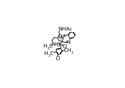 CC(=O)NCCC1CCN(C)C[C@H]1[C@@]1(S(=O)(=O)c2cc(C)c(Cl)cc2C)C=Nc2ccccc2C=[N+]1[O-]